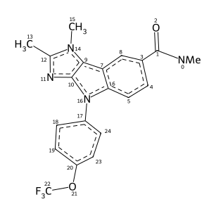 CNC(=O)c1ccc2c(c1)c1c(nc(C)n1C)n2-c1ccc(OC(F)(F)F)cc1